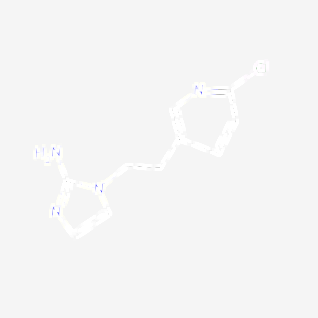 Nc1nccn1CCc1ccc(Cl)nc1